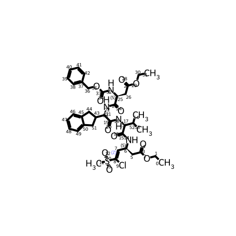 CCOC(=O)C[C@@H](/C=C(\Cl)S(C)(=O)=O)NC(=O)[C@@H](NC(=O)[C@@H](NC(=O)[C@H](CC(=O)OCC)NC(=O)OCc1ccccc1)C1Cc2ccccc2C1)C(C)C